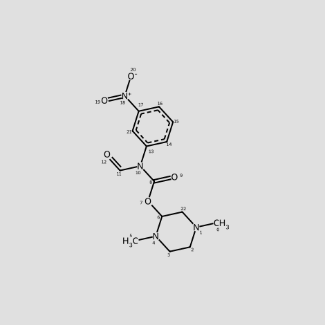 CN1CCN(C)C(OC(=O)N(C=O)c2cccc([N+](=O)[O-])c2)C1